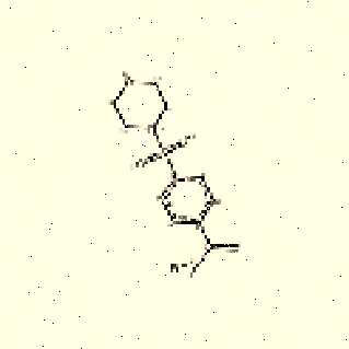 C=C(C(=O)OCC)c1ccc(S(=O)(=O)N2CCOCC2)cc1